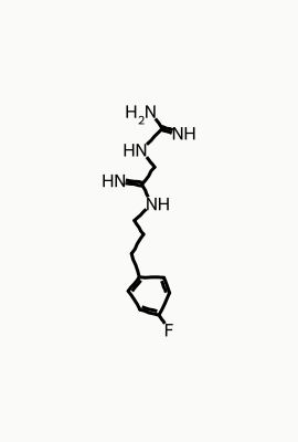 N=C(N)NCC(=N)NCCCc1ccc(F)cc1